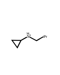 CC(C)C[SiH2]C1CC1